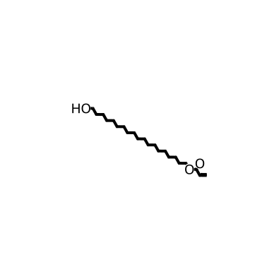 C=CC(=O)OCCCCCCCCCCCCCCCCCCCO